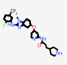 Cn1c(Nc2cc(C(F)(F)F)ccc2F)nc2cc(Oc3ccnc(NC(=O)CCC4CCNCC4)c3)ccc21